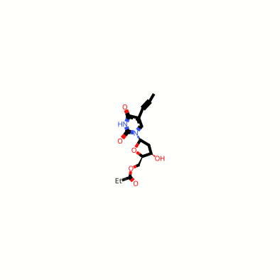 CC#Cc1cn([C@H]2C[C@H](O)[C@@H](COC(=O)CC)O2)c(=O)[nH]c1=O